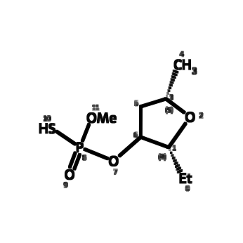 CC[C@H]1O[C@@H](C)CC1OP(=O)(S)OC